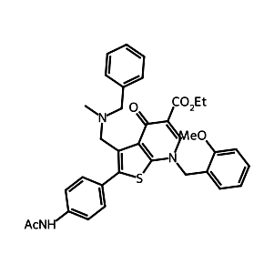 CCOC(=O)c1cn(Cc2ccccc2OC)c2sc(-c3ccc(NC(C)=O)cc3)c(CN(C)Cc3ccccc3)c2c1=O